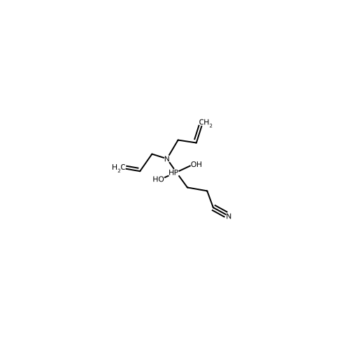 C=CCN(CC=C)[PH](O)(O)CCC#N